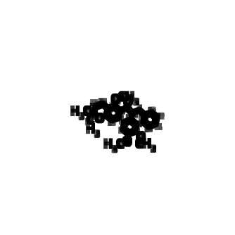 COc1ccc(C(Cc2ccccc2)C(=O)c2ccc3c(c2OC)C=CC(C)(C)O3)cc1OC